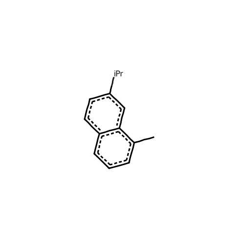 Cc1cccc2ccc(C(C)C)cc12